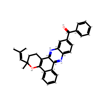 CC(C)=CC1(C)CCc2c(c3ccccc3c3nc4ccc(C(=O)c5ccccc5)cc4nc23)O1